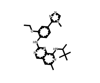 CCOc1cc(-c2nncn2C)ccc1Nc1ncc2cc(C)nc(NC(C)C(C)(C)C)c2n1